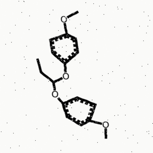 CCC(Oc1ccc(OC)cc1)Oc1ccc(OC)cc1